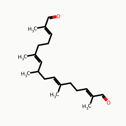 C/C(C=O)=C\CC/C(C)=C/CC(C)/C=C(\C)CC/C=C(\C)C=O